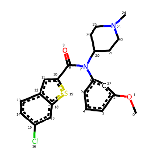 COc1cccc(N(C(=O)c2cc3ccc(Cl)cc3s2)C2CCN(C)CC2)c1